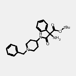 CC(C)(C)OC(=O)C(N)(C(=O)NC1CCN(Cc2ccccc2)CC1)c1ccccc1